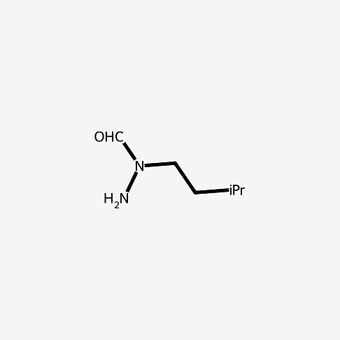 CC(C)CCN(N)C=O